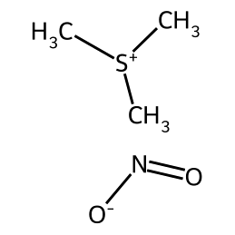 C[S+](C)C.O=N[O-]